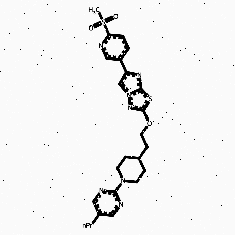 CCCc1cnc(N2CCC(CCOc3nn4cc(-c5ccc(S(C)(=O)=O)nc5)nc4s3)CC2)nc1